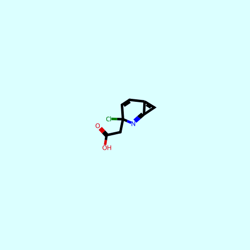 O=C(O)CC1(Cl)C=CC2=CC2=N1